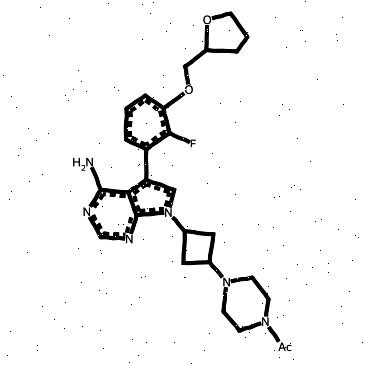 CC(=O)N1CCN(C2CC(n3cc(-c4cccc(OCC5CCCO5)c4F)c4c(N)ncnc43)C2)CC1